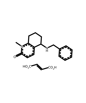 Cn1c2c(ccc1=O)C(NCc1ccccc1)CCC2.O=C(O)C=CC(=O)O